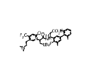 CCOC(=O)C[C@H](NC(=O)C(CC(C)(C)C)n1cc(CCN(C)C)c(C(F)(F)F)cc1=O)c1cc(-c2c(C)cccc2C)cc(C)c1F